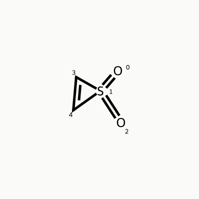 O=S1(=O)C=C1